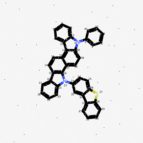 c1ccc(-n2c3ccccc3c3c4ccc5c6ccccc6n(-c6ccc7sc8ccccc8c7c6)c5c4ccc32)cc1